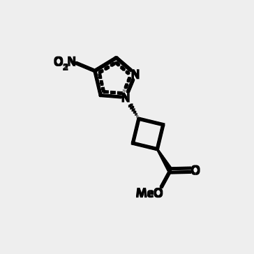 COC(=O)[C@H]1C[C@H](n2cc([N+](=O)[O-])cn2)C1